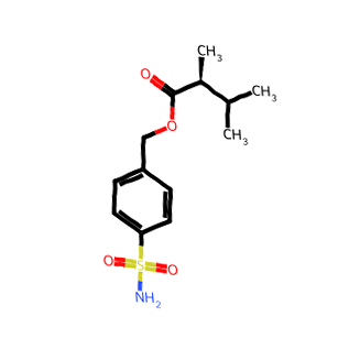 CC(C)[C@H](C)C(=O)OCc1ccc(S(N)(=O)=O)cc1